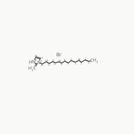 CCCCCCCCCCCCCCCC[n+]1cc[nH]c1C.[Br-]